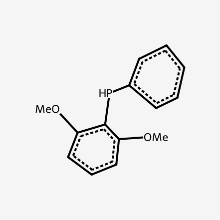 COc1cccc(OC)c1Pc1ccccc1